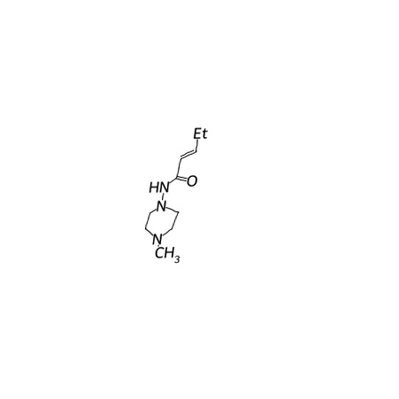 CCC=CC(=O)NN1CCN(C)CC1